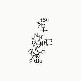 CC(C)(C)CS(=O)(=O)c1cc(N2C3CCC2CN(C(=O)c2ccc(F)cc2Cl)C3)c2c(cnn2CC(C)(C)O[Si](C)(C)C(C)(C)C)c1